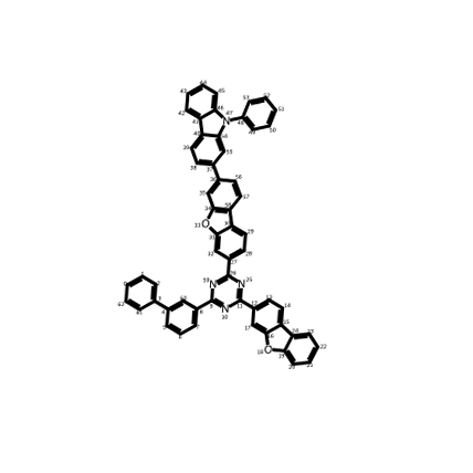 c1ccc(-c2cccc(-c3nc(-c4ccc5c(c4)oc4ccccc45)nc(-c4ccc5c(c4)oc4cc(-c6ccc7c8ccccc8n(-c8ccccc8)c7c6)ccc45)n3)c2)cc1